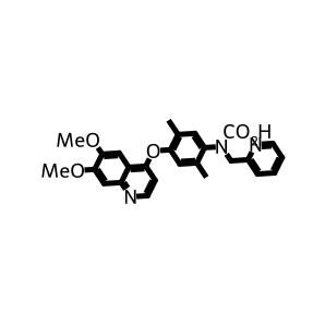 COc1cc2nccc(Oc3cc(C)c(N(Cc4ccccn4)C(=O)O)cc3C)c2cc1OC